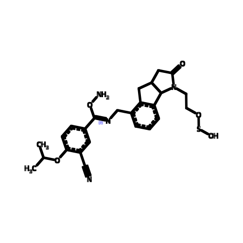 CC(C)Oc1ccc(/C(=N/Cc2cccc3c2CC2CC(=O)N(CCOSO)C32)ON)cc1C#N